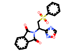 O=C1c2ccccc2C(=O)N1C(CS(=O)(=O)c1ccccc1)c1ncon1